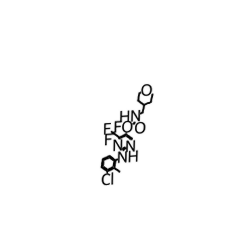 Cc1c(Cl)cccc1Nc1ncc(OC(=O)NCC2CCOCC2)c(C(F)(F)F)n1